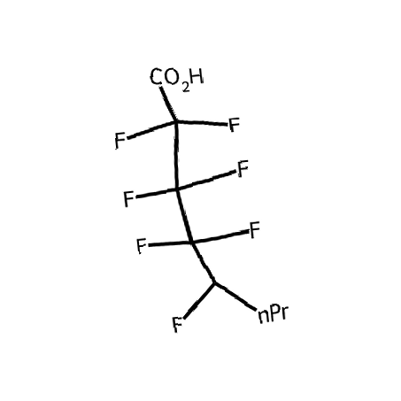 CCCC(F)C(F)(F)C(F)(F)C(F)(F)C(=O)O